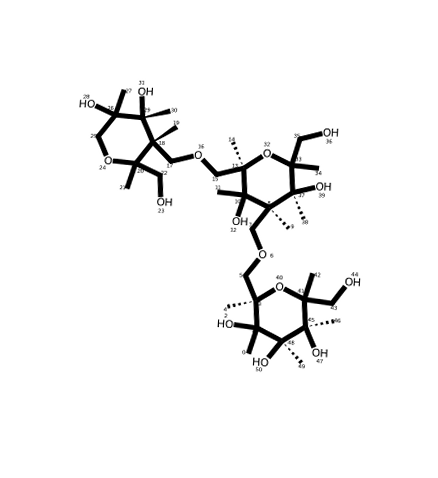 CC1(O)[C@@](C)(COC[C@@]2(C)C(C)(O)[C@@](C)(COC[C@]3(C)C(C)(CO)OCC(C)(O)[C@]3(C)O)OC(C)(CO)[C@@]2(C)O)OC(C)(CO)[C@@](C)(O)[C@@]1(C)O